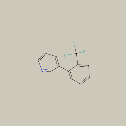 FC(F)(F)c1ccccc1-c1cc[c]nc1